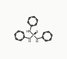 S=P(Nc1ccccc1)(Nc1ccccc1)Nc1ccccc1